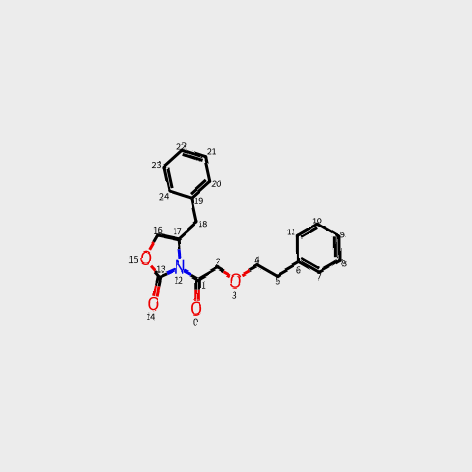 O=C(COCCc1ccccc1)N1C(=O)OCC1Cc1ccccc1